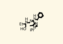 CCC(CO)NC/N=C(/NCc1ccccc1)c1ncn(C(C)C)c1C